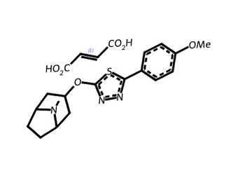 COc1ccc(-c2nnc(OC3CC4CCC(C3)N4C)s2)cc1.O=C(O)/C=C/C(=O)O